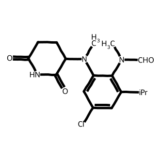 CC(C)c1cc(Cl)cc(N(C)C2CCC(=O)NC2=O)c1N(C)C=O